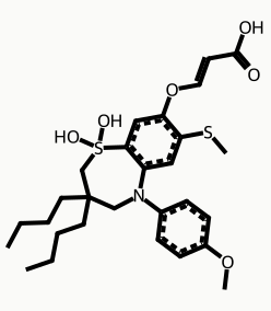 CCCCC1(CCCC)CN(c2ccc(OC)cc2)c2cc(SC)c(O/C=C/C(=O)O)cc2S(O)(O)C1